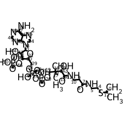 C=C(C)SCCNC(=O)CCNC(=O)C(O)C(C)(C)COP(=O)(O)OP(=O)(O)OCC1OC(n2cnc3c(N)ncnc32)C(O)C1OP(=O)(O)O